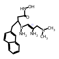 CN(C)C/C(N)=C/N(N)C(CC(=O)NO)Cc1ccc2ccccc2c1